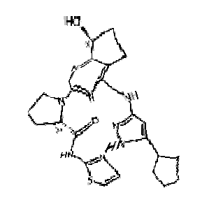 O=C(Nc1nccs1)[C@@H]1CCCN1c1nc(Nc2cc(C3CCCC3)[nH]n2)c2c(n1)[C@@H](O)CC2